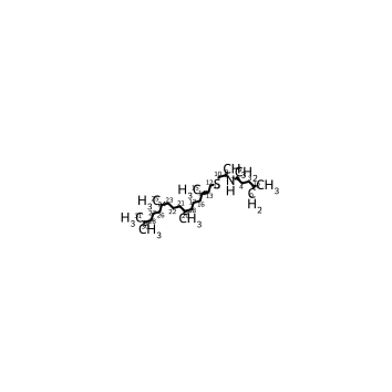 C=C(C)CCC(=C)NC(C)CSC/C=C(\C)CCCC(C)CCCC(C)CCCC(C)C